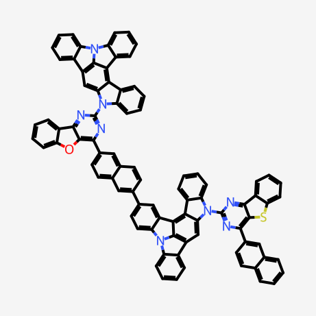 c1ccc2cc(-c3nc(-n4c5ccccc5c5c6c7cc(-c8ccc9cc(-c%10nc(-n%11c%12ccccc%12c%12c%13c%14ccccc%14n%14c%15ccccc%15c(cc%12%11)c%13%14)nc%11c%10oc%10ccccc%10%11)ccc9c8)ccc7n7c8ccccc8c(cc54)c67)nc4c3sc3ccccc34)ccc2c1